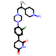 C[C@H](CN1CCN(c2ccc(C3CCC(=O)NC3=O)cc2F)CC1)C1CCN(N)CC1